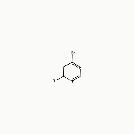 [2H]c1cc(Br)ncn1